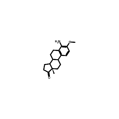 COc1ccc2c(c1N)CCC1C2CC[C@]2(C)C(=O)CCC12